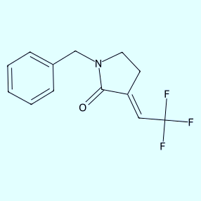 O=C1C(=CC(F)(F)F)CCN1Cc1ccccc1